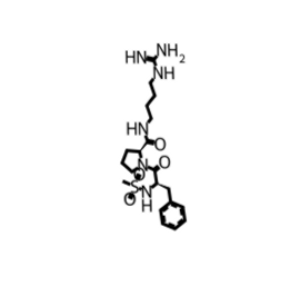 CS(=O)(=O)N[C@H](Cc1ccccc1)C(=O)N1CCC[C@H]1C(=O)NCCCCNC(=N)N